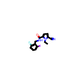 CCn1c(C#N)ccc1C(=O)NCc1c(F)cccc1I